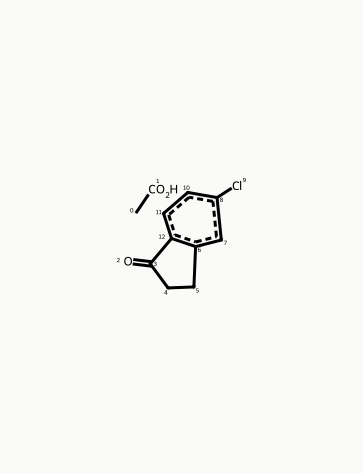 CC(=O)O.O=C1CCc2cc(Cl)ccc21